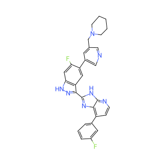 Fc1cccc(-c2ccnc3[nH]c(-c4n[nH]c5cc(F)c(-c6cncc(CN7CCCCC7)c6)cc45)nc23)c1